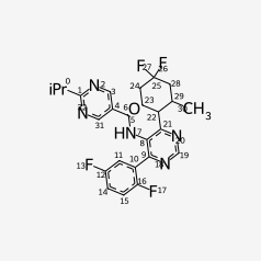 CC(C)c1ncc(C(=O)Nc2c(-c3cc(F)ccc3F)ncnc2C2CCC(F)(F)CC2C)cn1